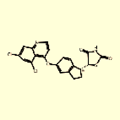 O=C1NC(=O)C([C@@H]2CCc3cc(Oc4ccnc5cc(Cl)cc(Cl)c45)ccc32)S1